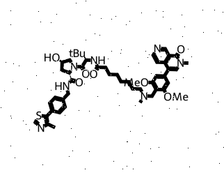 COc1cc(-c2cn(C)c(=O)c3cnccc23)cc(OC)c1CN(C)CCCCCCCC(=O)N[C@H](C(=O)N1C[C@H](O)C[C@H]1C(=O)NCc1ccc(-c2scnc2C)cc1)C(C)(C)C